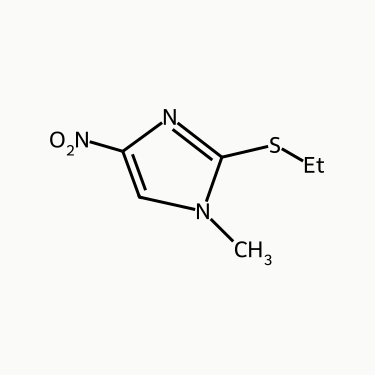 CCSc1nc([N+](=O)[O-])cn1C